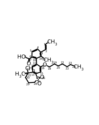 CC=Cc1ccc(C(=O)O)c(-c2cc3c(cc2OCCCCCCC)S(=O)(=O)CCCC3(C)C)c1C